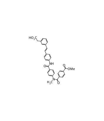 COC(=O)c1ccc(C(=O)N(C)c2ccc(C(=O)Nc3ccc(/C=C/c4cccc(CC(=O)O)c4)cc3)cc2)cc1